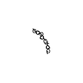 CCOc1ccc(Oc2cccc(COCC(C)(CC)c3ccc(OCC)cc3)c2)cc1